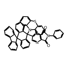 O=C1c2ncc(C3(N4c5ccccc5Sc5ccccc54)c4ccccc4C4(c5ccccc5-c5ccccc54)c4ccccc43)nc2C(=O)N1c1ccccc1